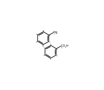 O=C(O)c1ccccc1.[Hg][c]1ccccc1